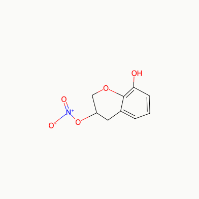 O=[N+]([O-])OC1COc2c(O)cccc2C1